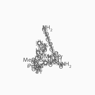 CC[C@H](C)C([C@@H](CC(=O)N1CCC[C@H]1[C@H](OC)[C@@H](C)C(=O)N[C@@H](Cc1ccccc1)c1nccs1)OC)N(C)C(=O)[C@@H](NC(=O)[C@H](C(C)C)N(C)C(=O)OCc1ccc(NC(=O)[C@H](CCCNC(N)=O)NC(=O)[C@@H](NC(=O)CCOCCOCCOCCOCCON)C(C)C)cc1)C(C)C